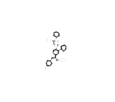 CCC(CN(C(=O)O)c1cc2oc(-c3ccc(F)cc3)c(C(=O)NC)c2cc1-c1ccccc1)N(C)c1ccccc1